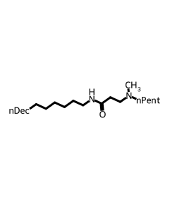 CCCCCCCCCCCCCCCCNC(=O)CCN(C)CCCCC